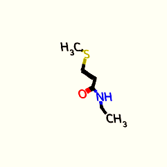 CCNC(=O)C=CSC